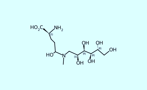 CN(C[C@H](O)[C@@H](O)[C@H](O)[C@H](O)CO)C(O)CC[C@H](N)C(=O)O